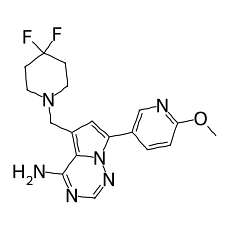 COc1ccc(-c2cc(CN3CCC(F)(F)CC3)c3c(N)ncnn23)cn1